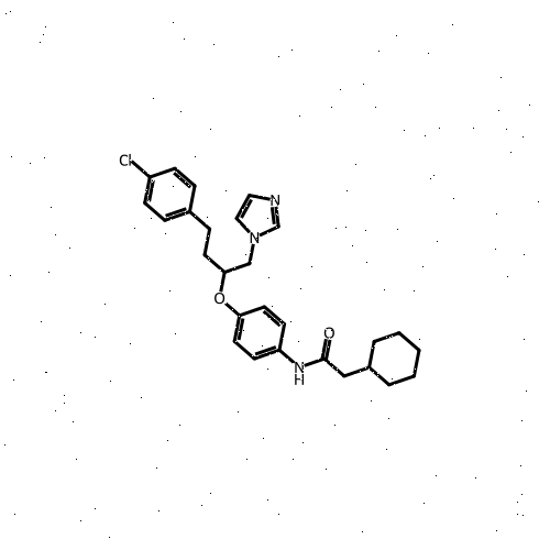 O=C(CC1CCCCC1)Nc1ccc(OC(CCc2ccc(Cl)cc2)Cn2ccnc2)cc1